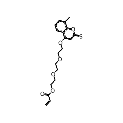 C=CC(=O)OCCOCCOCCOc1cc(=S)oc2c(C)cccc12